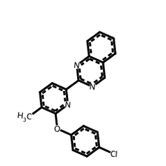 Cc1ccc(-c2ncc3ccccc3n2)nc1Oc1ccc(Cl)cc1